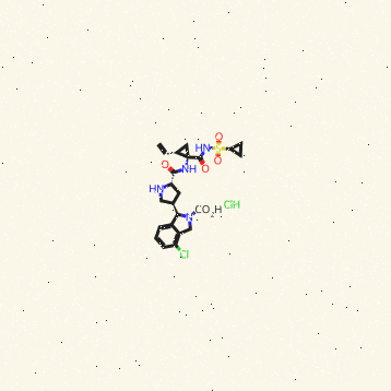 C=C[C@@H]1C[C@]1(NC(=O)[C@@H]1C[C@@H](C2c3cccc(Cl)c3CN2C(=O)O)CN1)C(=O)NS(=O)(=O)C1CC1.Cl